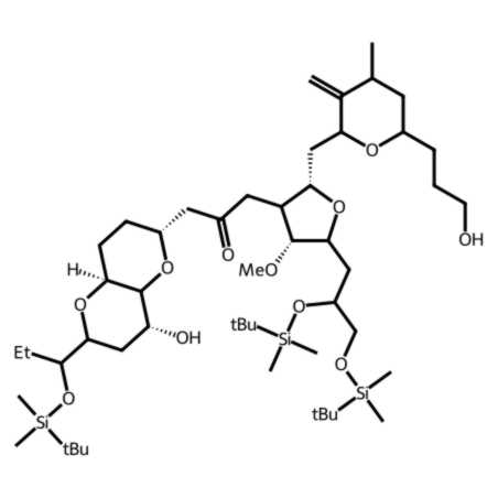 C=C1C(C)CC(CCCO)OC1C[C@@H]1OC(CC(CO[Si](C)(C)C(C)(C)C)O[Si](C)(C)C(C)(C)C)[C@H](OC)C1CC(=O)C[C@H]1CC[C@@H]2OC(C(CC)O[Si](C)(C)C(C)(C)C)C[C@@H](O)C2O1